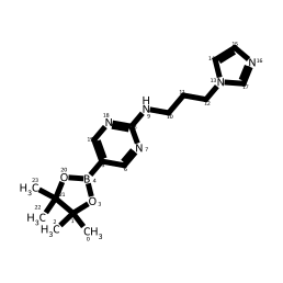 CC1(C)OB(c2cnc(NCCCn3ccnc3)nc2)OC1(C)C